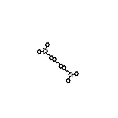 C(=C\c1ccc2cc(/C=C/c3nc(-c4ccccc4)nc(-c4ccccc4)n3)ccc2c1)/c1ccc2cc(/C=C/c3nc(-c4ccccc4)nc(-c4ccccc4)n3)ccc2c1